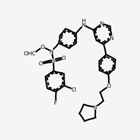 O=CON(c1ccc(Nc2cc(-c3ccc(OCCN4CCCC4)cc3)ncn2)cc1)S(=O)(=O)c1ccc(F)c(Cl)c1